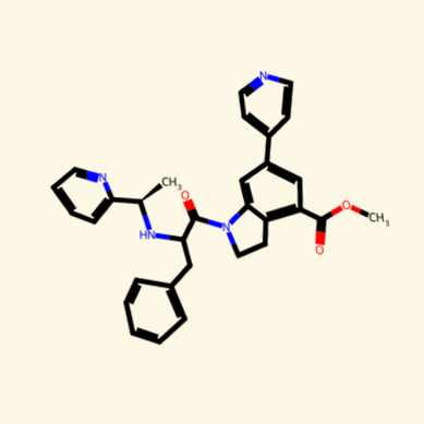 COC(=O)c1cc(-c2ccncc2)cc2c1CCN2C(=O)C(Cc1ccccc1)N[C@H](C)c1ccccn1